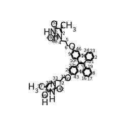 CC1=CN(CCCOc2ccc(C(=C(c3ccccc3)c3ccccc3)c3ccc(OCCCN4C=C(C)C(O)NC4=O)cc3)cc2)C2(CO2)NC1=O